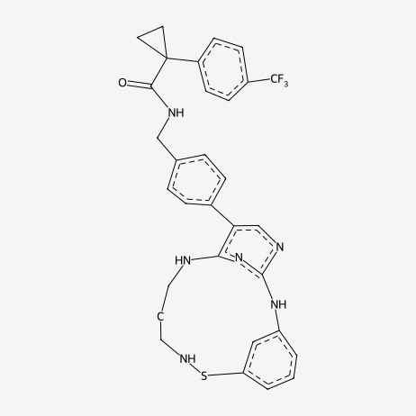 O=C(NCc1ccc(-c2cnc3nc2NCCCNSc2cccc(c2)N3)cc1)C1(c2ccc(C(F)(F)F)cc2)CC1